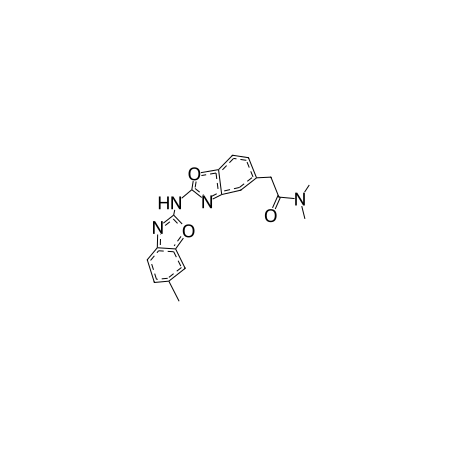 Cc1ccc2nc(Nc3nc4cc(CC(=O)N(C)C)ccc4o3)oc2c1